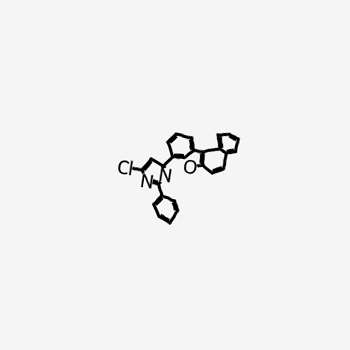 Clc1cc(-c2cccc3c2oc2ccc4ccccc4c23)nc(-c2ccccc2)n1